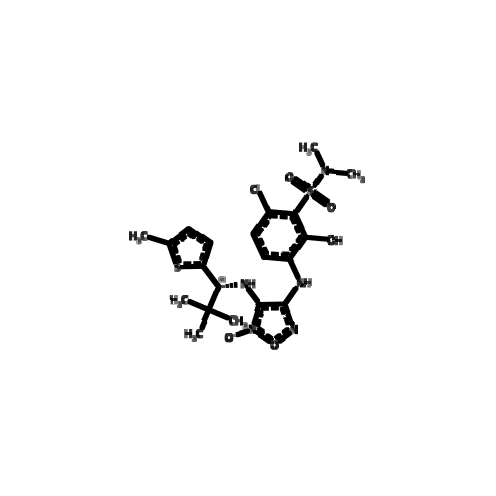 Cc1ccc([C@H](Nc2c(Nc3ccc(Cl)c(S(=O)(=O)N(C)C)c3O)no[n+]2[O-])C(C)(C)C)s1